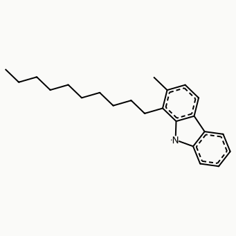 CCCCCCCCCCc1c(C)ccc2c1[N]c1ccccc1-2